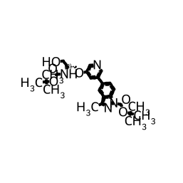 Cc1nn(C(=O)OC(C)(C)C)c2ccc(-c3cncc(OC[C@@H](CO)NC(=O)OC(C)(C)C)c3)cc12